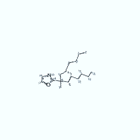 CCCCCCC(C)(CCCCCC)c1ncco1